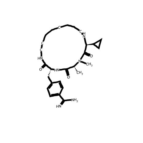 C[C@@H]1C(=O)N[C@H](Cc2ccc(C(=N)N)cc2)C(=O)NCCCCCCCCN[C@@H](C2CC2)C(=O)N1C